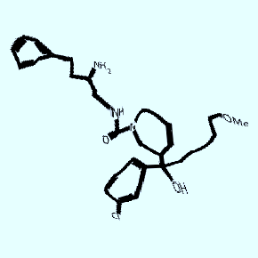 COCCCCC(O)(c1cccc(Cl)c1)C1CCCN(C(=O)NCC(N)CCc2ccccc2)C1